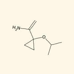 C=C(N)C1(OC(C)C)CC1